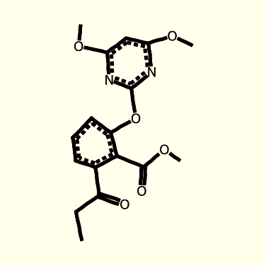 CCC(=O)c1cccc(Oc2nc(OC)cc(OC)n2)c1C(=O)OC